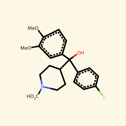 COc1ccc(C(O)(c2ccc(F)cc2)C2CCN(C(=O)O)CC2)cc1OC